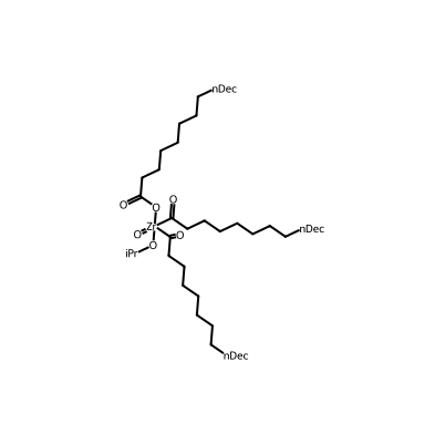 CCCCCCCCCCCCCCCCCC(=O)[O][Zr](=[O])([O]C(C)C)([C](=O)CCCCCCCCCCCCCCCCC)[C](=O)CCCCCCCCCCCCCCCCC